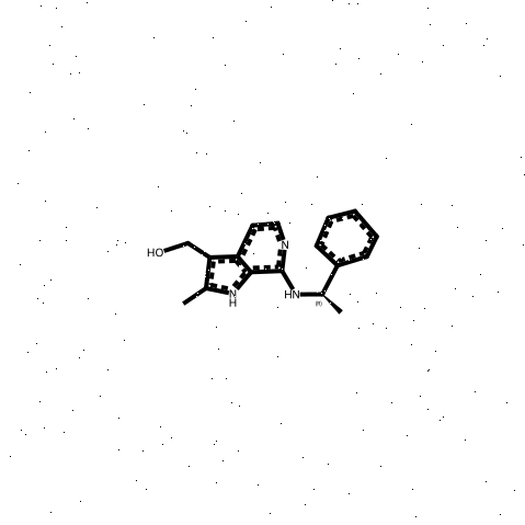 Cc1[nH]c2c(N[C@H](C)c3ccccc3)nccc2c1CO